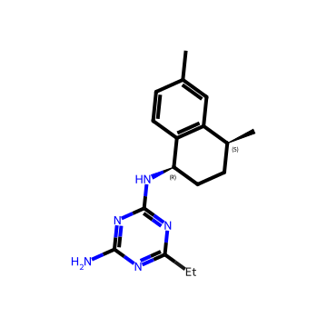 CCc1nc(N)nc(N[C@@H]2CC[C@H](C)c3cc(C)ccc32)n1